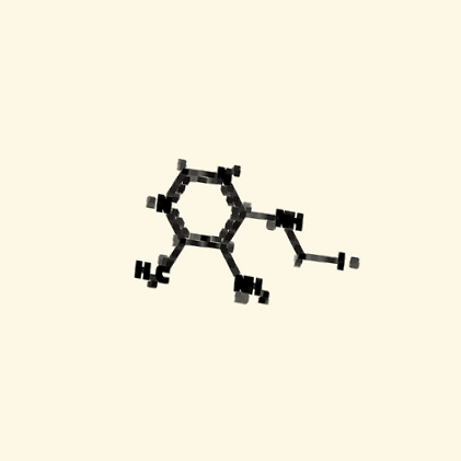 Cc1ncnc(NCI)c1N